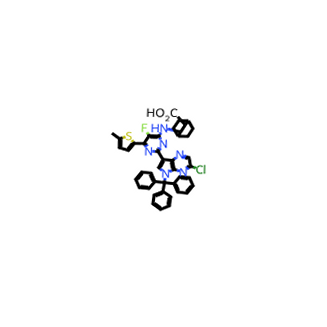 Cc1ccc(-c2nc(-c3cn(C(c4ccccc4)(c4ccccc4)c4ccccc4)c4nc(Cl)cnc34)nc(NC3C4CCC(CC4)C3C(=O)O)c2F)s1